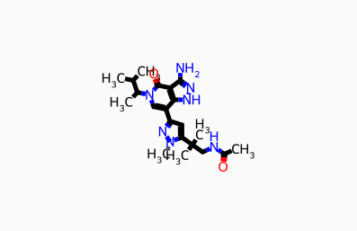 CC(=O)NCC(C)(C)c1cc(-c2cn(C(C)C(C)C)c(=O)c3c(N)n[nH]c23)nn1C